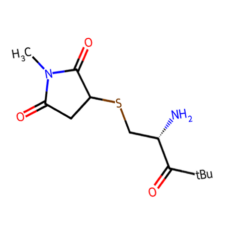 CN1C(=O)CC(SC[C@H](N)C(=O)C(C)(C)C)C1=O